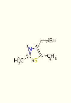 CCC(C)Cc1nc(C)sc1C